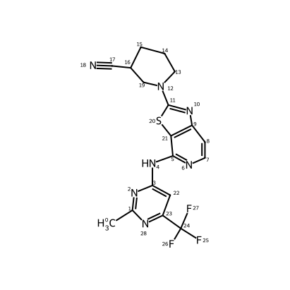 Cc1nc(Nc2nccc3nc(N4CCCC(C#N)C4)sc23)cc(C(F)(F)F)n1